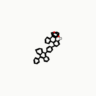 c1ccc(-c2ccccc2-c2c(-c3ccc(-c4c5ccccc5c(-c5ccccc5)c5ccccc45)cc3)ccc3oc4ccccc4c23)cc1